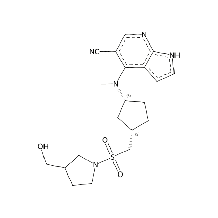 CN(c1c(C#N)cnc2[nH]ccc12)[C@@H]1CC[C@H](CS(=O)(=O)N2CCC(CO)C2)C1